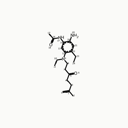 C=C(C)CCC(=O)CCN(CC)c1cc(NC(C)=O)c(N)cc1CC